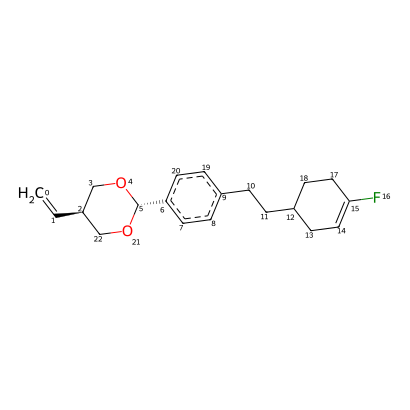 C=C[C@H]1CO[C@H](c2ccc(CCC3CC=C(F)CC3)cc2)OC1